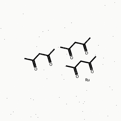 CC(=O)CC(C)=O.CC(=O)CC(C)=O.CC(=O)CC(C)=O.[Ru]